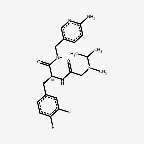 CC(C)N(C)CC(=O)N[C@@H](Cc1ccc(F)c(F)c1)C(=O)NCc1ccc(N)nc1